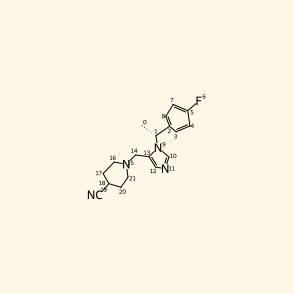 C[C@H](c1ccc(F)cc1)n1cncc1CN1CCC(C#N)CC1